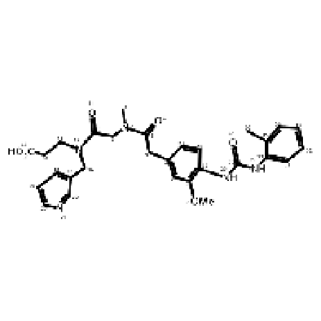 COc1cc(CC(=O)N(C)CC(=O)N(CCC(=O)O)Cc2cccnc2)ccc1NC(=O)Nc1ccccc1C